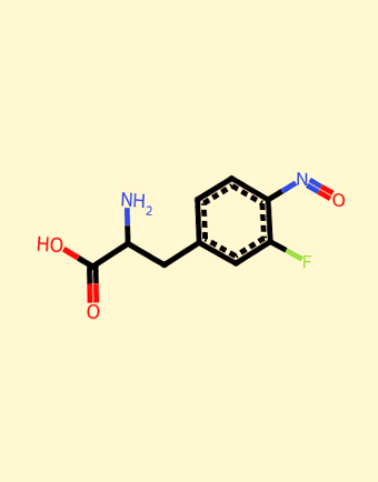 NC(Cc1ccc(N=O)c(F)c1)C(=O)O